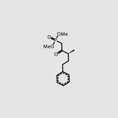 COP(=O)(CC(=O)[C@@H](C)CCc1ccccc1)OC